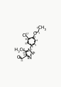 CCOc1ccc(-n2nnc(C=O)c2C)cc1Cl